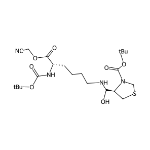 CC(C)(C)OC(=O)N[C@@H](CCCCNC(O)[C@@H]1CSCN1C(=O)OC(C)(C)C)C(=O)OCC#N